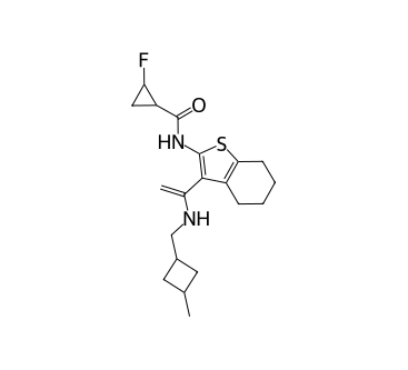 C=C(NCC1CC(C)C1)c1c(NC(=O)C2CC2F)sc2c1CCCC2